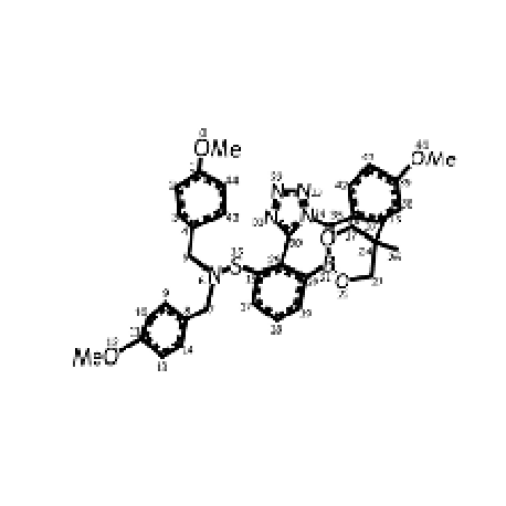 COc1ccc(CN(Cc2ccc(OC)cc2)Sc2cccc(B3OCC(C)(C)CO3)c2-c2nnnn2Cc2ccc(OC)cc2)cc1